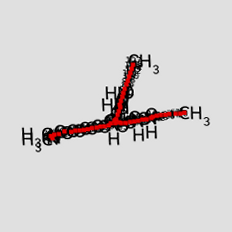 CCCCCCCCCCCCCCCC(=O)NCCOCCNC(=O)CCOCCNC(=O)CC[C@H](NC(=O)CCOCCOCCOCCOCCOCCOCCOCCOCCn1cc(C(C)C)nn1)C(=O)NCCOCCC(=O)NCCOCCNC(=O)CCCCCCCCCCCCCCC